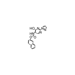 O=C(Nc1cnc(-n2cccn2)nc1O)Oc1ccc2ccccc2c1